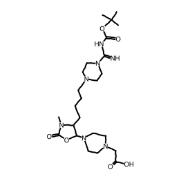 CN1C(=O)OC(N2CCN(CC(=O)O)CC2)C1CCCCN1CCN(C(=N)NC(=O)OC(C)(C)C)CC1